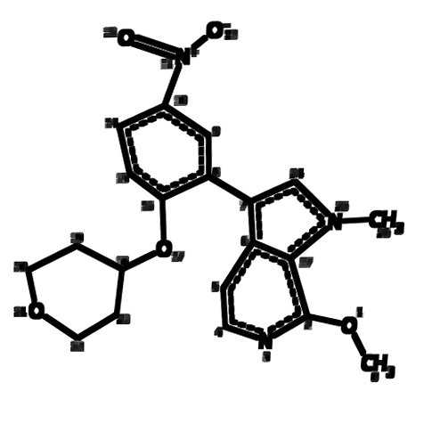 COc1nccc2c(-c3cc([N+](=O)[O-])ccc3OC3CCOCC3)cn(C)c12